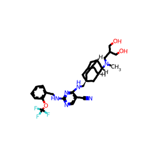 CN(CC(CO)CO)[C@@H]1[C@@H]2CC3C[C@H]1C[C@@](CNc1nc(NCc4ccccc4OC(F)(F)F)ncc1C#N)(C3)C2